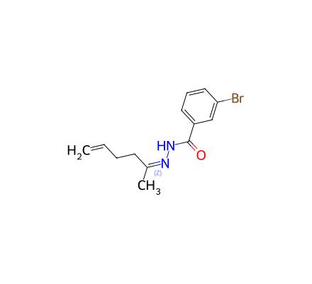 C=CCC/C(C)=N\NC(=O)c1cccc(Br)c1